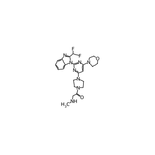 CNCC(=O)N1CCN(c2cc(N3CCOCC3)nc(-n3c(C(F)F)nc4ccccc43)n2)CC1